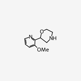 COc1cccnc1C1CNCCO1